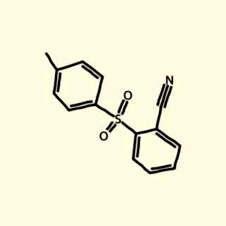 Cc1ccc(S(=O)(=O)c2ccccc2C#N)cc1